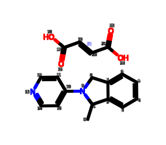 CC1c2ccccc2CN1c1ccncc1.O=C(O)/C=C/C(=O)O